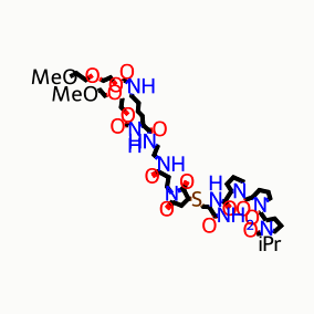 COCCOCCOC(=O)NCCCCC(NC(=O)OCCOCCOC)C(=O)NCCNC(=O)CCN1C(=O)CC(SCC(NC(=O)C2CCCN2C(=O)C2CCCN2C(=O)C2CCCN2C(=O)C(C)C)C(N)=O)C1=O